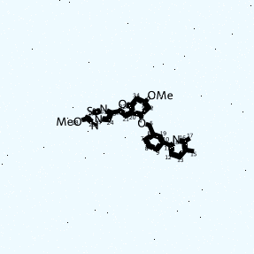 COc1cc(OCc2cccc(-c3ccc(C)c(C)n3)c2)c2cc(-c3cn4nc(OC)sc4n3)oc2c1